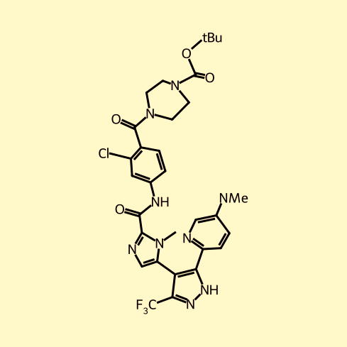 CNc1ccc(-c2[nH]nc(C(F)(F)F)c2-c2cnc(C(=O)Nc3ccc(C(=O)N4CCN(C(=O)OC(C)(C)C)CC4)c(Cl)c3)n2C)nc1